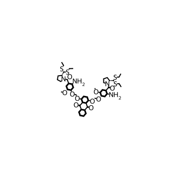 CCSC(SCC)[C@@H]1CCCN1C(=O)c1cc(OC)c(OCOc2ccc(OCOc3cc(N)c(C(=O)N4CCC[C@H]4C(SCC)SCC)cc3OC)c3c2C(=O)c2ccccc2C3=O)cc1N